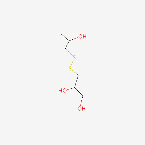 CC(O)CSSCC(O)CO